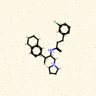 C=C(CCc1cccc(F)c1)NC(CN1CCCC1)C(C)c1ccc2c(c1)CCCC2